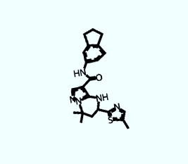 Cc1cnc(C2CC(C)(C)n3ncc(C(=O)Nc4ccc5c(c4)CCC5)c3N2)s1